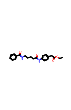 CCOC(=O)Cc1ccc(NC(=O)CCCCNC(=O)c2ccccc2)cc1